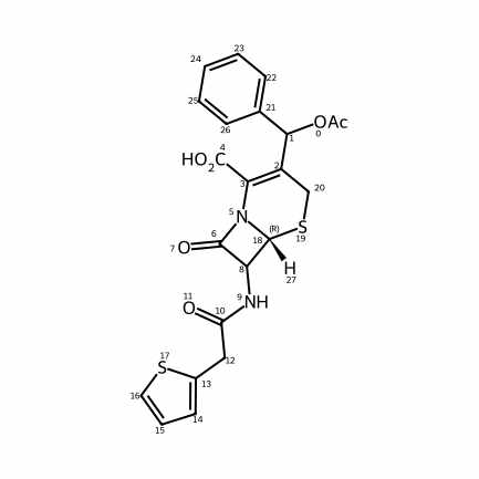 CC(=O)OC(C1=C(C(=O)O)N2C(=O)C(NC(=O)Cc3cccs3)[C@H]2SC1)c1ccccc1